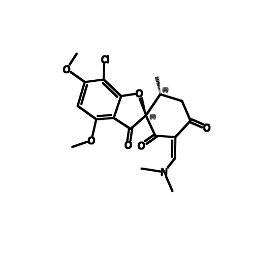 COc1cc(OC)c2c(c1Cl)O[C@@]1(C(=O)C(=CN(C)C)C(=O)C[C@H]1C)C2=O